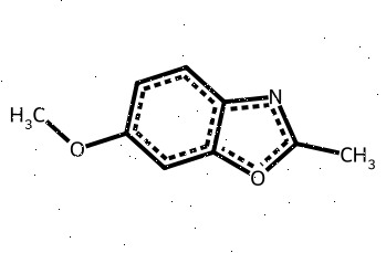 COc1ccc2nc(C)oc2c1